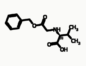 CC(C)[C@H](NCC(=O)OCc1ccccc1)C(=O)O